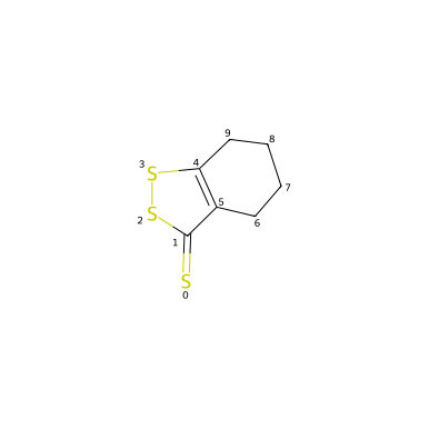 S=c1ssc2c1CCCC2